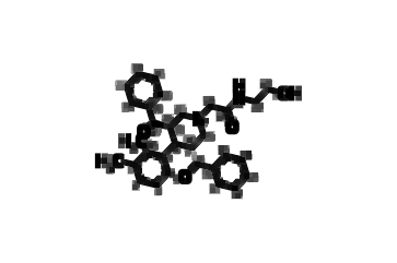 Cc1cccc(C2[C@@H](C(=O)c3ccccc3)CN(CC(=O)NCCO)C[C@@H]2C(=O)c2ccccc2)c1C